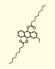 CCCCCCCCC(=O)Oc1c2ccccc2c(OC(=O)CCCCCCCC)c2cc(CC)ccc12